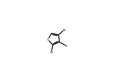 Brc1csc(Br)c1Br